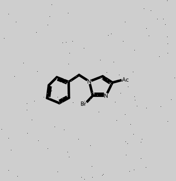 CC(=O)c1cn(Cc2ccccc2)c(Br)n1